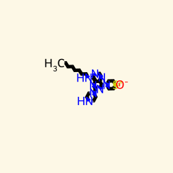 CCCCCCCCNc1ncnc2c(N3CC[S+]([O-])CC3)nc(N3CCNCC3)nc12